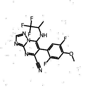 COc1cc(F)c(-c2c(C#N)nc3ncnn3c2NC(C)C(F)(F)F)cc1F